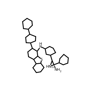 N[C@@]1(C2CCCCC2)NC1C1CCCC(NC2C(C3CCC(C4CCCCC4)CC3)CCC3C4CCCCC4SC32)C1